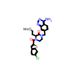 COCCC1C(=O)N(Cc2ccc3c(N)ncnc3c2)CCN1C(=O)c1cc2ccc(Cl)cc2s1